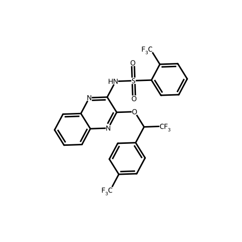 O=S(=O)(Nc1nc2ccccc2nc1OC(c1ccc(C(F)(F)F)cc1)C(F)(F)F)c1ccccc1C(F)(F)F